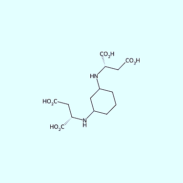 O=C(O)C[C@H](NC1CCCC(N[C@@H](CC(=O)O)C(=O)O)C1)C(=O)O